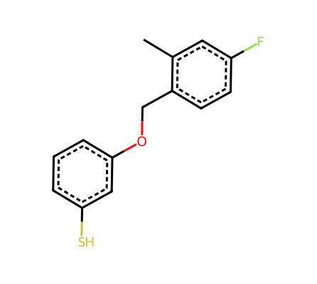 Cc1cc(F)ccc1COc1cccc(S)c1